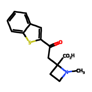 CN1CCC1(CC(=O)c1cc2ccccc2s1)C(=O)O